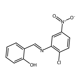 O=[N+]([O-])c1ccc(Cl)c(N=Cc2ccccc2O)c1